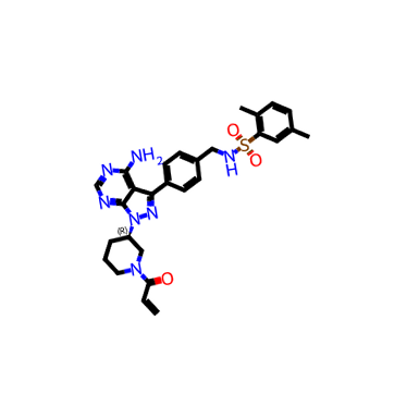 C=CC(=O)N1CCC[C@@H](n2nc(-c3ccc(CNS(=O)(=O)c4cc(C)ccc4C)cc3)c3c(N)ncnc32)C1